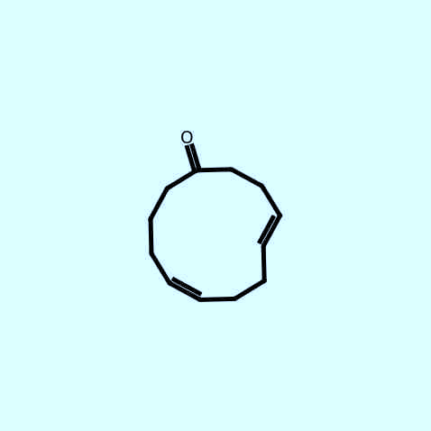 O=C1CC/C=C/CC/C=C\CCC1